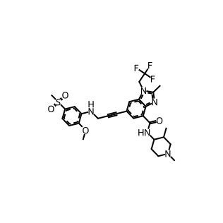 COc1ccc(S(C)(=O)=O)cc1NCC#Cc1cc(C(=O)NC2CCN(C)CC2C)c2nc(C)n(CC(F)(F)F)c2c1